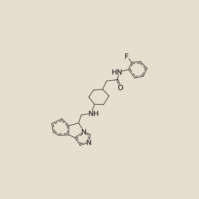 O=C(CC1CCC(NCC2c3ccccc3-c3cncn32)CC1)Nc1ccccc1F